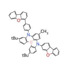 Cc1cc2c3c(c1)N(c1ccc(-c4cccc5c4oc4ccccc45)cc1)c1cc(C(C)(C)C)ccc1B3c1cc(C(C)(C)C)ccc1N2c1ccc2c(c1)oc1ccccc12